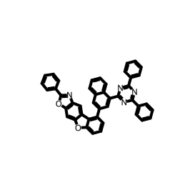 c1ccc(-c2nc(-c3ccccc3)nc(-c3cc(-c4cccc5oc6cc7oc(-c8ccccc8)nc7cc6c45)cc4ccccc34)n2)cc1